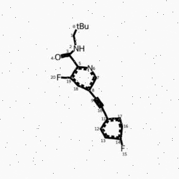 CC(C)(C)CNC(=O)c1ncc(C#Cc2ccc(F)cc2)cc1F